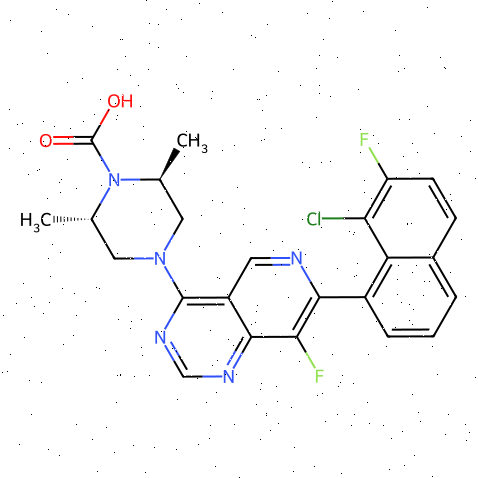 C[C@H]1CN(c2ncnc3c(F)c(-c4cccc5ccc(F)c(Cl)c45)ncc23)C[C@H](C)N1C(=O)O